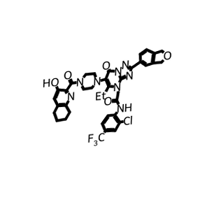 CCc1c(N2CCN(C(=O)c3nc4c(cc3O)CCCC4)CC2)c(=O)n2nc(-c3ccc4c(c3)COC4)nc2n1CC(=O)Nc1ccc(C(F)(F)F)cc1Cl